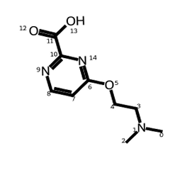 CN(C)CCOc1ccnc(C(=O)O)n1